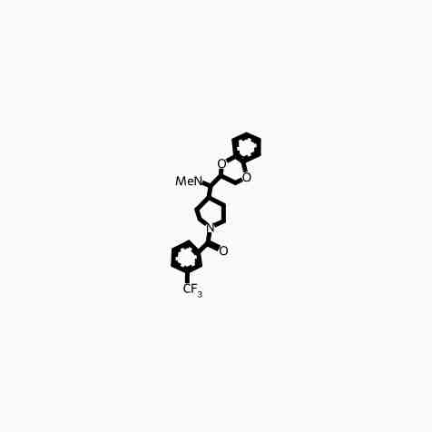 CNC(C1CCN(C(=O)c2cccc(C(F)(F)F)c2)CC1)C1COc2ccccc2O1